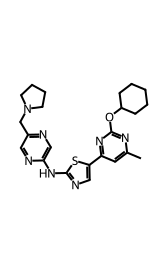 Cc1cc(-c2cnc(Nc3cnc(CN4CCCC4)cn3)s2)nc(OC2CCCCC2)n1